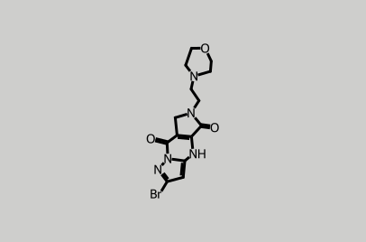 O=C1c2[nH]c3cc(Br)nn3c(=O)c2CN1CCN1CCOCC1